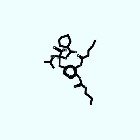 CCCCC(=O)Oc1ccc(C[C@](NC(C)C)(OC(=O)C2CCCCC2)C(=O)O)cc1OC(=O)CCCC